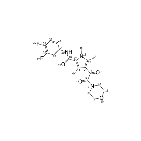 Cc1c(C(=O)C(=O)N2CCOCC2)c(C)n(C)c1C(=O)Nc1ccc(F)c(F)c1